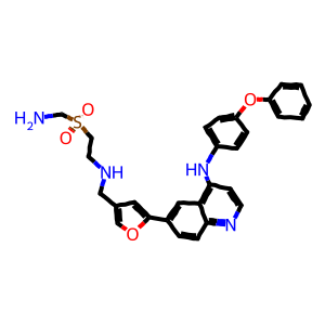 NCS(=O)(=O)CCNCc1coc(-c2ccc3nccc(Nc4ccc(Oc5ccccc5)cc4)c3c2)c1